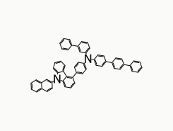 c1ccc(-c2ccc(-c3ccc(N(c4ccc(-c5cccc6c5c5ccccc5n6-c5ccc6ccccc6c5)cc4)c4cccc(-c5ccccc5)c4)cc3)cc2)cc1